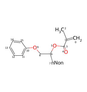 C=C(C)C(=O)OC(CCCCCCCCC)COc1ccccc1